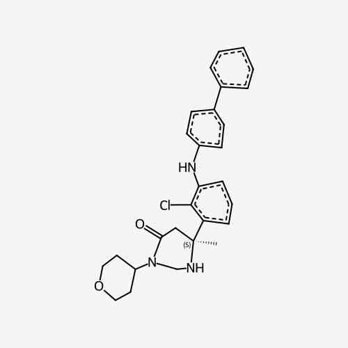 C[C@@]1(c2cccc(Nc3ccc(-c4ccccc4)cc3)c2Cl)CC(=O)N(C2CCOCC2)CN1